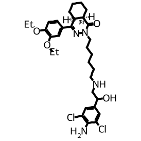 CCOc1ccc(C2=NN(CCCCCCNCC(O)c3cc(Cl)c(N)c(Cl)c3)C(=O)[C@@H]3CCCC[C@H]23)cc1OCC